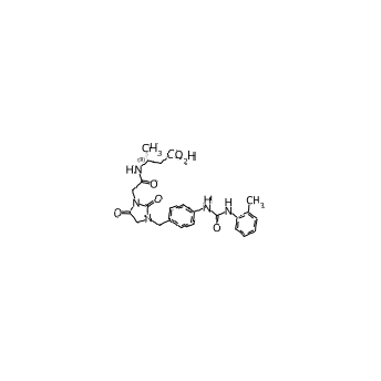 Cc1ccccc1NC(=O)Nc1ccc(CN2CC(=O)N(CC(=O)N[C@H](C)CC(=O)O)C2=O)cc1